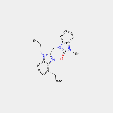 COCc1cccc2c1nc(Cn1c(=O)n(C(C)C)c3ccccc31)n2CCC(C)C